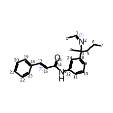 C/C=N\C(C)(CCC)c1cccc(NC(=O)/C=C/c2ccccc2)c1